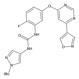 CC(C)(C)n1cc(NC(=O)Nc2cc(Oc3cc(-c4cnoc4)ncn3)ccc2F)cn1